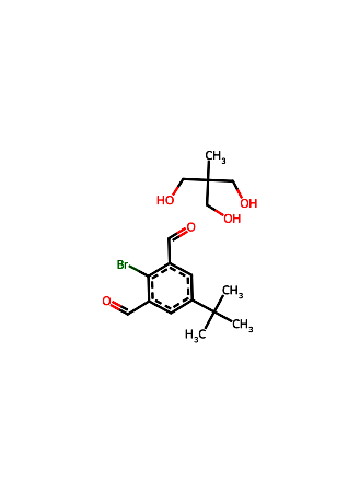 CC(C)(C)c1cc(C=O)c(Br)c(C=O)c1.CC(CO)(CO)CO